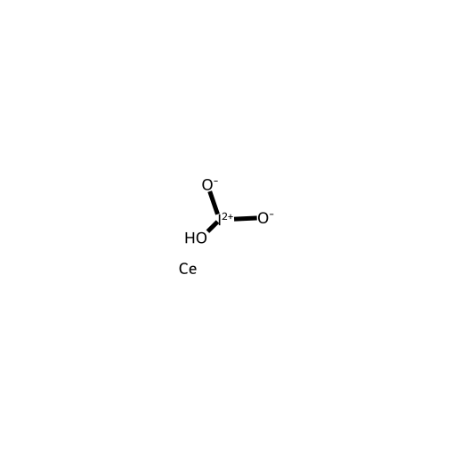 [Ce].[O-][I+2]([O-])O